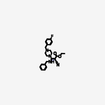 CCOC(=O)/C(C#N)=C(/NCc1ccccc1)N1CCN(Cc2ccc(F)cc2)CC1